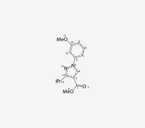 COC(=O)c1cn(-c2cccc(OC)c2)nc1C(C)C